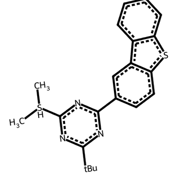 C[SH](C)c1nc(-c2ccc3sc4ccccc4c3c2)nc(C(C)(C)C)n1